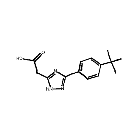 CC(C)(C)c1ccc(-c2n[nH]c(CC(=O)O)n2)cc1